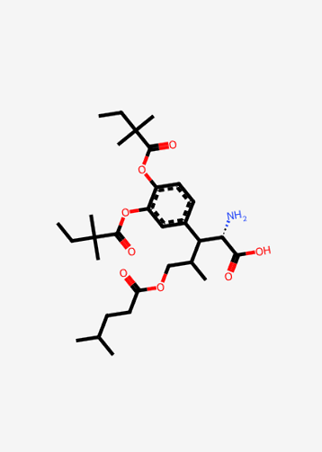 CCC(C)(C)C(=O)Oc1ccc(C(C(C)COC(=O)CCC(C)C)[C@H](N)C(=O)O)cc1OC(=O)C(C)(C)CC